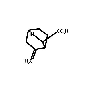 C=C1CC2CCC1C(C(=O)O)N2